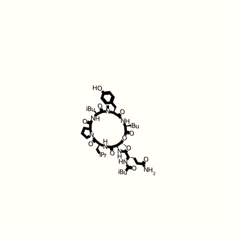 CCC(C)C(=O)N[C@@H](CCC(N)=O)C(=O)N[C@@H]1C(=O)N[C@@H](CC(C)C)C(=O)N2CCCC2C(=O)N[C@@H](C(C)CC)C(=O)N(C)[C@@H](Cc2ccc(O)cc2)C(=O)N[C@@H](C(C)CC)C(=O)O[C@@H]1C